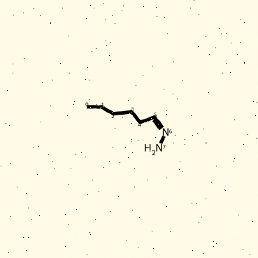 CCCCC/[C]=N\N